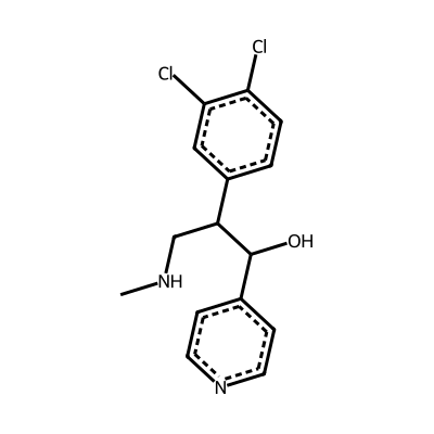 CNCC(c1ccc(Cl)c(Cl)c1)C(O)c1ccncc1